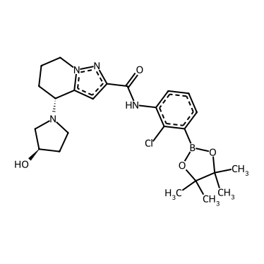 CC1(C)OB(c2cccc(NC(=O)c3cc4n(n3)CCC[C@H]4N3CC[C@@H](O)C3)c2Cl)OC1(C)C